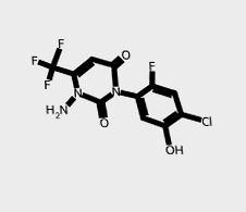 Nn1c(C(F)(F)F)cc(=O)n(-c2cc(O)c(Cl)cc2F)c1=O